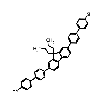 CCCC1(CCC)c2cc(-c3ccc(-c4ccc(S)cc4)cc3)ccc2-c2ccc(-c3ccc(-c4ccc(S)cc4)cc3)cc21